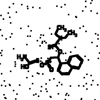 CCN(CC)C(=S)OC(C[N+](=O)[O-])c1cccc2ccccc12.NC(O)=S